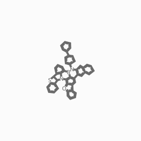 c1ccc(-c2ccc(N3B4c5cccc6c5N(c5c4c(cc4c5oc5ccccc54)-c4cc5ccccc5cc43)C3c4ccccc4SC63)cc2)cc1